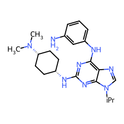 CC(C)n1cnc2c(Nc3cccc(N)c3)nc(N[C@H]3CC[C@@H](N(C)C)CC3)nc21